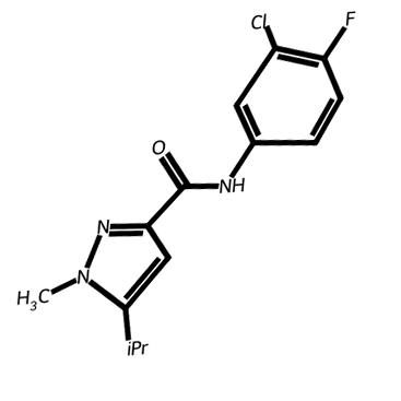 CC(C)c1cc(C(=O)Nc2ccc(F)c(Cl)c2)nn1C